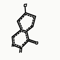 O=c1[nH]ncc2cc(Cl)ccc12